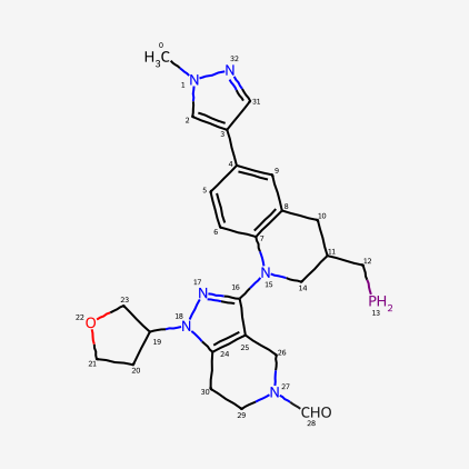 Cn1cc(-c2ccc3c(c2)CC(CP)CN3c2nn(C3CCOC3)c3c2CN(C=O)CC3)cn1